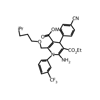 CCOC(=O)C1=C(N)N(c2cccc(C(F)(F)F)c2)C(COCCCC(C)C)=C(C(=O)OC)C1c1ccc(C#N)cc1